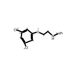 CCCNCCOc1cc(Cl)cc(Cl)c1